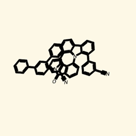 N#Cc1cccc(-c2cccc3c4cccc(-c5cccc(C#N)c5)c4n(-c4cccc5c4C(=O)N(c4ccc(-c6ccccc6)cc4-c4ccccc4)C5=O)c23)c1